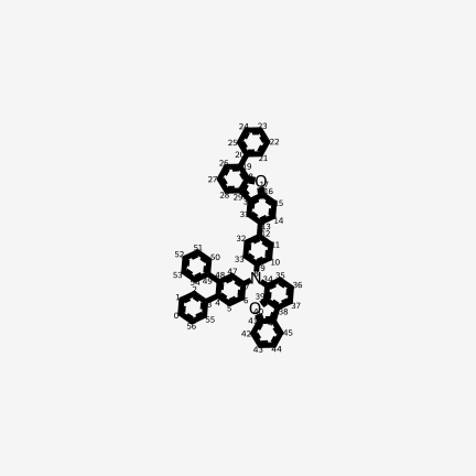 c1ccc(-c2ccc(N(c3ccc(-c4ccc5oc6c(-c7ccccc7)cccc6c5c4)cc3)c3cccc4c3oc3ccccc34)cc2-c2ccccc2)cc1